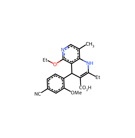 CCOc1ncc(C)c2c1C(c1ccc(C#N)cc1OC)C(C(=O)O)=C(CC)N2